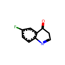 O=C1CC=Nc2ccc(F)cc21